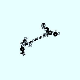 Cc1ncsc1-c1ccc(CNC(=O)[C@@H]2C[C@@H](O)CN2C(=O)[C@@H](NC(=O)CCOCCCOCCOCCNC(=O)[C@]2(Cc3cccc(Nc4nccs4)n3)CC[C@@H](Oc3cccc(Cl)c3F)CC2)C(C)(C)C)cc1